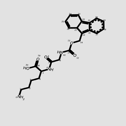 NCCCCC(NC(=O)CNC(=O)OCC1=c2ccccc2=C2C=CC=CC21)C(=O)O